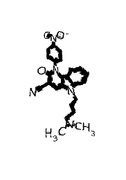 CN(C)CCCCn1c2ccccc2c2c1cc(C#N)c(=O)n2-c1ccc([N+](=O)[O-])cc1